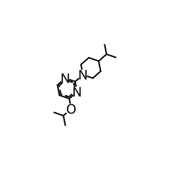 CC(C)Oc1ccnc(N2CCC(C(C)C)CC2)n1